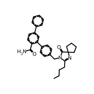 CCCCC1=NC2(CCCC2)C(=O)N1Cc1ccc(-c2cc(-c3ccccc3)ccc2C(N)=O)cc1